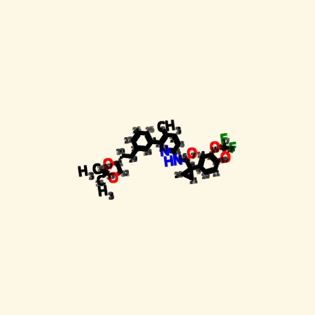 Cc1ccc(NC(=O)C2(c3ccc4c(c3)OC(F)(F)O4)CC2)nc1-c1cccc(CC[C@@H]2COC(C)(C)O2)c1